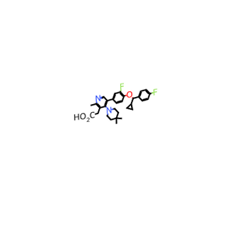 Cc1ncc(-c2ccc(OC(c3ccc(F)cc3)C3CC3)c(F)c2)c(N2CCC(C)(C)CC2)c1CC(=O)O